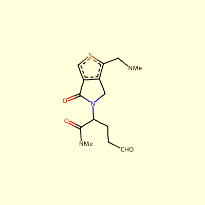 CNCc1scc2c1CN(C(CCC=O)C(=O)NC)C2=O